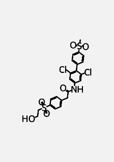 CS(=O)(=O)c1ccc(-c2c(Cl)cc(NC(=O)Cc3ccc(S(=O)(=O)CCO)cc3)cc2Cl)cc1